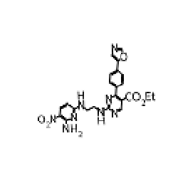 CCOC(=O)c1cnc(NCCNc2ccc([N+](=O)[O-])c(N)n2)nc1-c1ccc(-c2cnco2)cc1